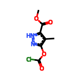 COC(=O)c1[nH]nc(OC(=O)Cl)c1C